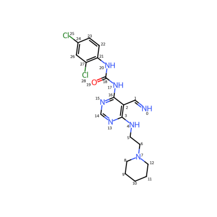 N=Cc1c(NCCN2CCCCC2)ncnc1NC(=O)Nc1ccc(Cl)cc1Cl